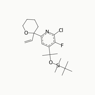 C=CC1(c2cc(C(C)(C)O[Si](C)(C)C(C)(C)C)c(F)c(Cl)n2)CCCCO1